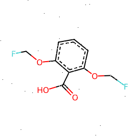 O=C(O)c1c(OCF)cccc1OCF